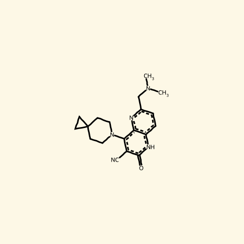 CN(C)Cc1ccc2[nH]c(=O)c(C#N)c(N3CCC4(CC3)CC4)c2n1